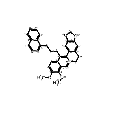 COc1ccc2c(CCCc3cccc4ccccc34)c3[n+](cc2c1OC)CCc1cc2c(cc1-3)OCO2